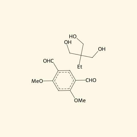 CCC(CO)(CO)CO.COc1cc(OC)c(C=O)cc1C=O